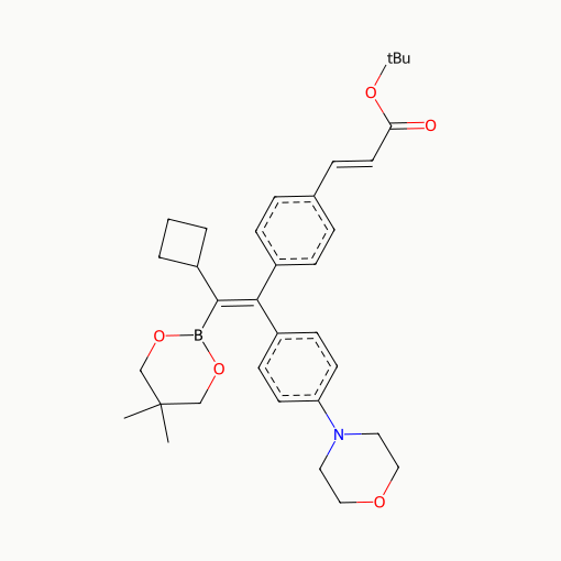 CC1(C)COB(C(=C(c2ccc(C=CC(=O)OC(C)(C)C)cc2)c2ccc(N3CCOCC3)cc2)C2CCC2)OC1